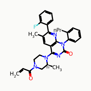 C=CC(=O)N1CCN(c2nc(=O)n(-c3ccccc3CCC)c3nc(-c4ccccc4F)c(C)cc23)[C@@H](C)C1